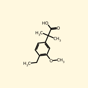 CCc1ccc(C(C)(C)C(=O)O)cc1OC